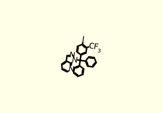 FC(F)(F)c1cc(C(c2ccccc2)(c2ccccc2)n2ncc3cccnc32)ccc1I